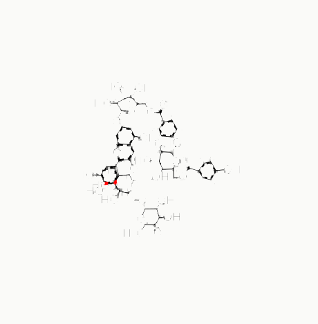 CC1O[C@@H](OC[C@H]2O[C@@H](Oc3cc4c(O)cc(O[C@@H]5OC(COC(=O)c6ccc(O[C@@H]7OC(COC(=O)c8ccc(O)cc8)[C@@H](O)[C@H](O)C7O)cc6)[C@@H](O)[C@H](O)C5O)cc4[o+]c3-c3cc(O)c(O)c(O)c3)C(O)C(O)[C@@H]2O)[C@@H](O)C(O)[C@H]1O